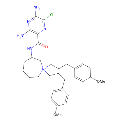 COc1ccc(CCC[N+]2(CCCc3ccc(OC)cc3)CCCCC(NC(=O)c3nc(Cl)c(N)nc3N)C2)cc1